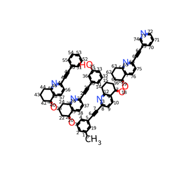 Cc1cccc(C#Cc2ccc3c(n2)CCCC3=O)c1.O=C1CCCc2nc(C#Cc3cccc(O)c3)ccc21.O=C1CCCc2nc(C#Cc3ccccc3)ccc21.O=C1CCCc2nc(C#Cc3cccnc3)ccc21